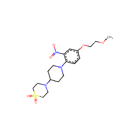 COCCOc1ccc(N2CCC(N3CCS(=O)(=O)CC3)CC2)c([N+](=O)[O-])c1